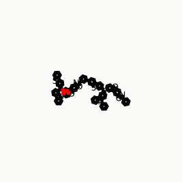 c1ccc(-c2nc3cc4oc5ccc(N(c6ccc7c(c6)sc6cc(-c8cccc(-c9nc%10cc%11c(cc%10o9)oc9ccc(N(c%10ccc%12c(c%10)sc%10ccccc%10%12)c%10cccc%12c%13ccccc%13n(-c%13ccccc%13)c%10%12)cc9%11)c8)ccc67)c6ccc7c(c6)c6ccccc6n7-c6ccccc6)cc5c4cc3o2)cc1